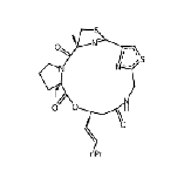 CCC/C=C/[C@@H]1CC(=O)NCc2nc(cs2)C2=N[C@@](C)(CS2)C(=O)N2CCC[C@H]2C(=O)O1